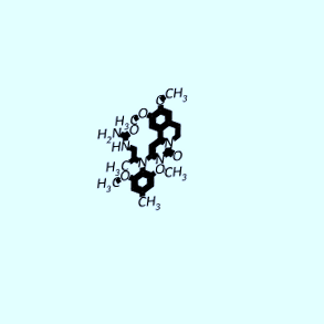 COc1cc2c(cc1OC)-c1cc(N(c3c(OC)cc(C)cc3OC)C(C)CNC(N)=O)nc(=O)n1CC2